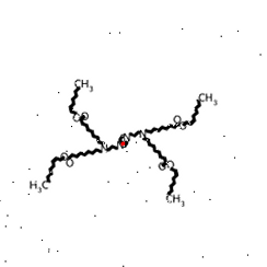 CCCCCC/C=C\COC(=O)CCCCCCCCN(CCCCCCCCC(=O)OC/C=C\CCCCCC)CCCN1CC2CC1CN2CCCN(CCCCCCCCC(=O)OC/C=C\CCCCCC)CCCCCCCCC(=O)OC/C=C\CCCCCC